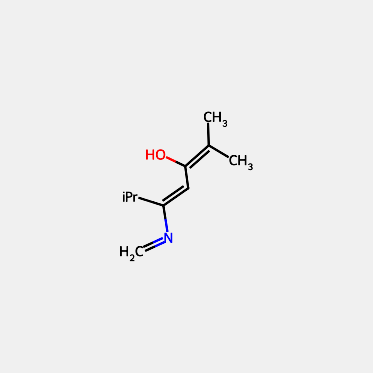 C=N/C(=C/C(O)=C(C)C)C(C)C